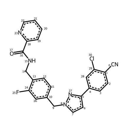 N#Cc1ccc(-c2ccn(Cc3ccc(CNC(=O)c4ccccn4)c(F)c3)n2)cc1Cl